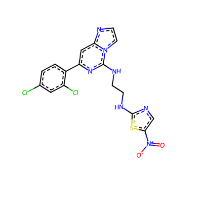 O=[N+]([O-])c1cnc(NCCNc2nc(-c3ccc(Cl)cc3Cl)cc3nccn23)s1